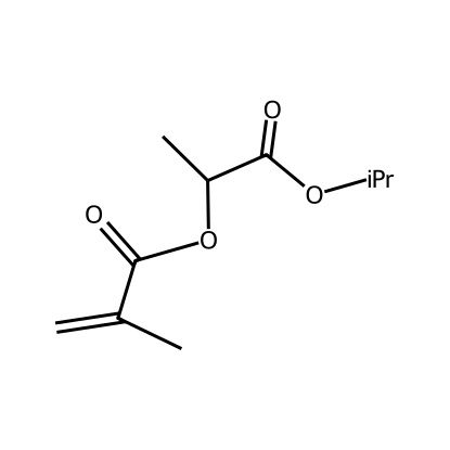 C=C(C)C(=O)OC(C)C(=O)OC(C)C